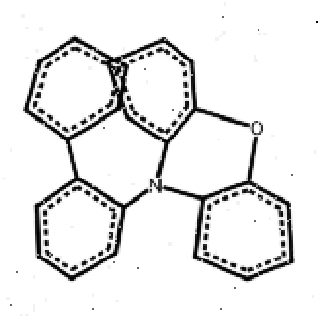 c1ccc(-c2ccccc2N2c3ccccc3Oc3ccccc32)cc1